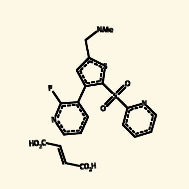 CNCc1cc(-c2cccnc2F)c(S(=O)(=O)c2ccccn2)s1.O=C(O)C=CC(=O)O